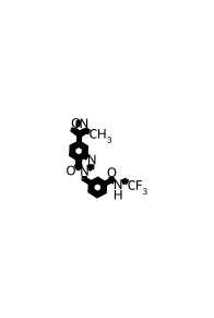 Cc1nocc1-c1ccc2c(=O)n(Cc3cccc(C(=O)NCC(F)(F)F)c3)cnc2c1